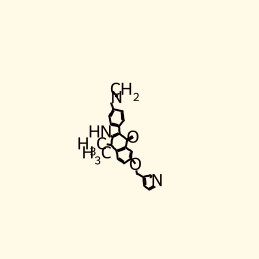 C=NCc1ccc2c3c([nH]c2c1)C(C)(C)c1ccc(OCc2cccnc2)cc1C3=O